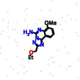 CCOCc1nc2c3cccc(OC)c3nc(N)n2n1